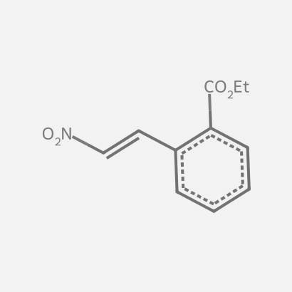 CCOC(=O)c1ccccc1C=C[N+](=O)[O-]